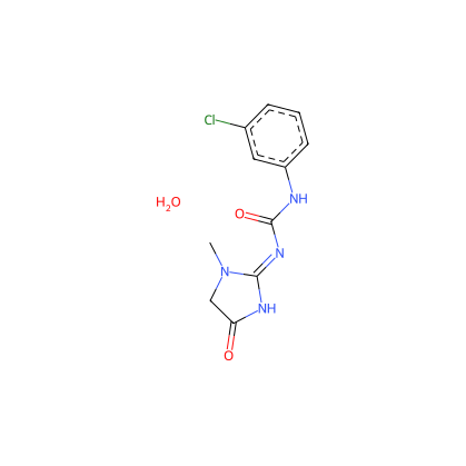 CN1CC(=O)NC1=NC(=O)Nc1cccc(Cl)c1.O